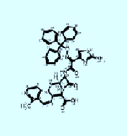 Cc1ncccc1/C=C\C1=C(C(=O)O)N2C(=O)[C@@H](NC(=O)C(=NOC(c3ccccc3)(c3ccccc3)c3ccccc3)c3csc(N)n3)[C@@H]2SC1